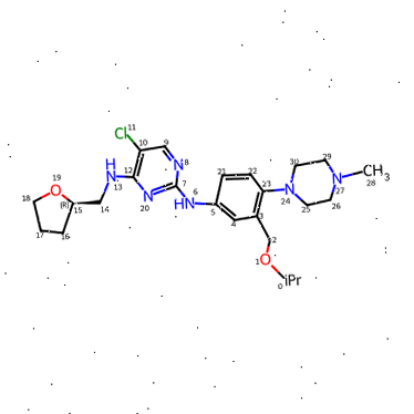 CC(C)OCc1cc(Nc2ncc(Cl)c(NC[C@H]3CCCO3)n2)ccc1N1CCN(C)CC1